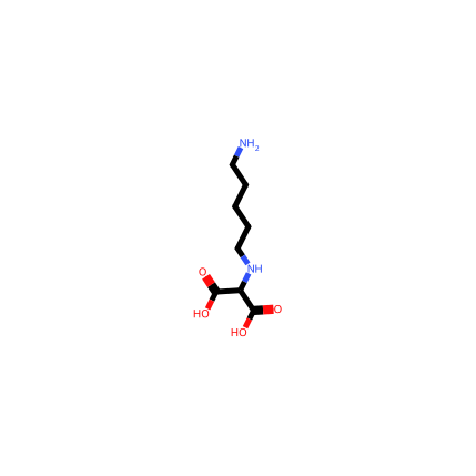 NCCCCCNC(C(=O)O)C(=O)O